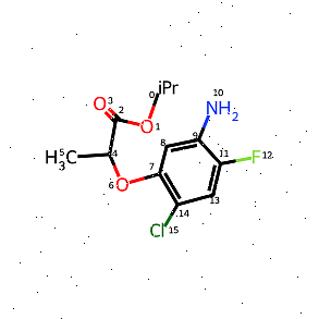 CC(C)OC(=O)C(C)Oc1cc(N)c(F)cc1Cl